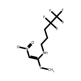 CSC(=C[N+](=O)[O-])NCCCC(F)(F)C(F)(F)F